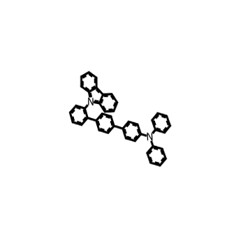 c1ccc(N(c2ccccc2)c2ccc(-c3ccc(-c4ccccc4-n4c5ccccc5c5ccccc54)cc3)cc2)cc1